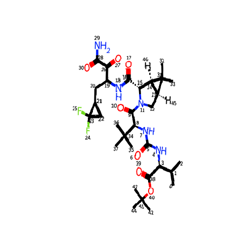 CC(C)[C@H](NC(=O)N[C@H](C(=O)N1C[C@H]2[C@@H]([C@H]1C(=O)NC(CC1CC1(F)F)C(=O)C(N)=O)C2(C)C)C(C)(C)C)C(=O)OC(C)(C)C